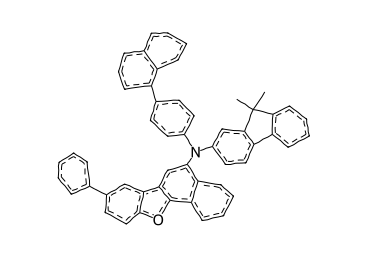 CC1(C)c2ccccc2-c2ccc(N(c3ccc(-c4cccc5ccccc45)cc3)c3cc4c5cc(-c6ccccc6)ccc5oc4c4ccccc34)cc21